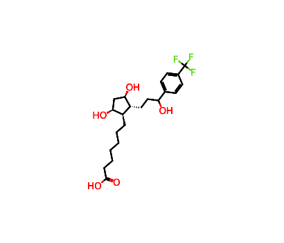 O=C(O)CCCCCC[C@@H]1[C@@H](CCC(O)c2ccc(C(F)(F)F)cc2)[C@H](O)C[C@@H]1O